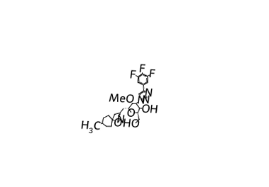 CO[C@@H]1[C@@H](n2cc(-c3cc(F)c(F)c(F)c3)nn2)[C@@H](O)[C@@H](CO)O[C@@H]1CC1=NOC2(CCC(C)CC2)C1